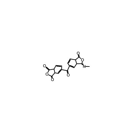 C/N=C1\OC(=O)C2C=CC(C(=O)C3=CC4C(=O)OC(=O)C4C=C3)=CC12